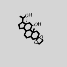 CC(O)C1CCC2C3CCC4CC5(CCC4(C)C3[C@@H](O)C[C@]12C)OCCO5